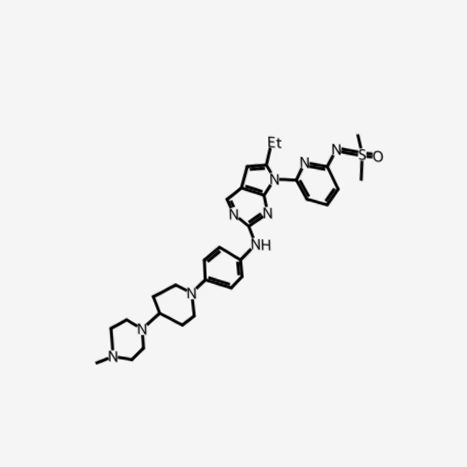 CCc1cc2cnc(Nc3ccc(N4CCC(N5CCN(C)CC5)CC4)cc3)nc2n1-c1cccc(N=S(C)(C)=O)n1